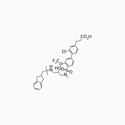 CN(CC(O)CNC(C)(C)CC1Cc2ccccc2C1)S(=O)(=O)c1ccc(-c2ccc(CCC(=O)O)cc2Cl)cc1OC(F)(F)F